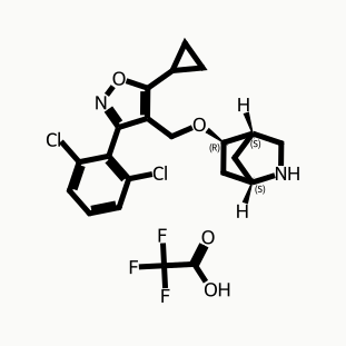 Clc1cccc(Cl)c1-c1noc(C2CC2)c1CO[C@@H]1C[C@@H]2C[C@H]1CN2.O=C(O)C(F)(F)F